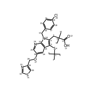 CC(C)(C)Sc1c(CC(C)(C)C(=O)O)n(Cc2ccc(Cl)cc2)c2ncc(OCc3cscn3)cc12